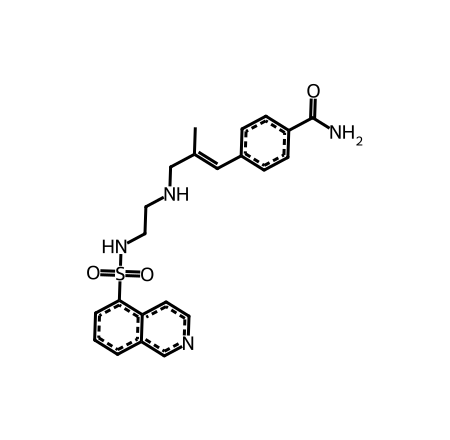 CC(=Cc1ccc(C(N)=O)cc1)CNCCNS(=O)(=O)c1cccc2cnccc12